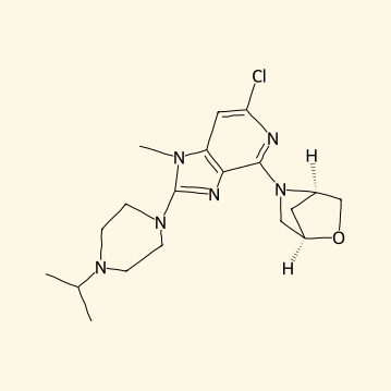 CC(C)N1CCN(c2nc3c(N4C[C@H]5C[C@@H]4CO5)nc(Cl)cc3n2C)CC1